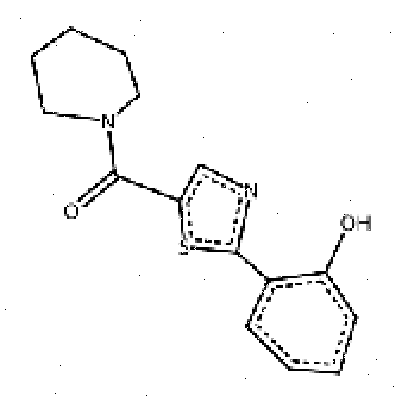 O=C(c1cnc(-c2ccccc2O)s1)N1CCCCC1